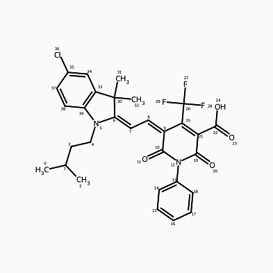 CC(C)CCN1/C(=C/C=C2\C(=O)N(c3ccccc3)C(=O)C(C(=O)O)=C2C(F)(F)F)C(C)(C)c2cc(Cl)ccc21